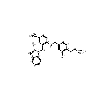 CCc1cc(COc2ccc(OC)cc2Cn2c(CC)nc3ccccc32)ccc1CCC(=O)O